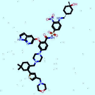 CC1(C)CCC(CN2CCN(c3ccc(C(=O)NS(=O)(=O)c4ccc(NC[C@H]5CC[C@@](C)(O)CC5)c([N+](=O)[O-])c4)c(Oc4cnc5[nH]ccc5c4)c3)CC2)=C(c2cc(CN3CCOCC3)cs2)C1